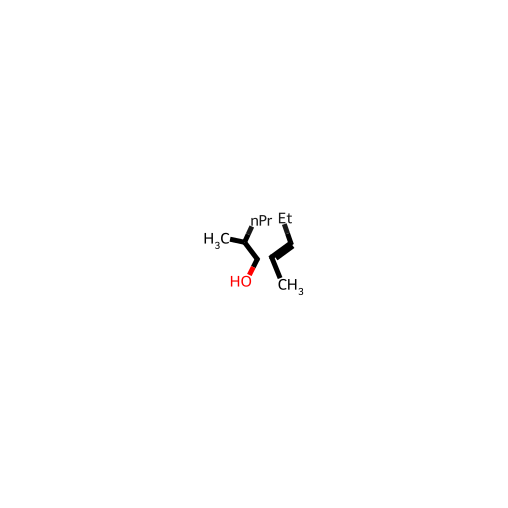 CC=CCC.CCCC(C)CO